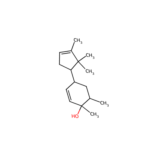 CC1=CCC(C2C=CC(C)(O)C(C)C2)C1(C)C